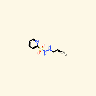 C=CCNNS(=O)(=O)c1ccccn1